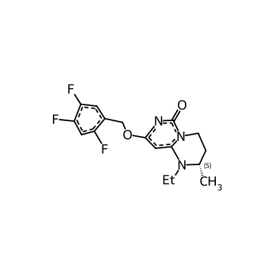 CCN1c2cc(OCc3cc(F)c(F)cc3F)nc(=O)n2CC[C@@H]1C